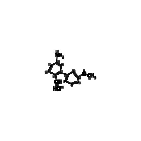 COc1cccc(-c2cc(N)ccc2O)c1.Cl